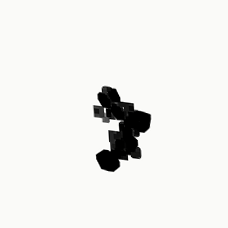 CC(C)(CNC(=O)C1(OCc2cc(=O)n3nc(-c4ccccc4)nc3[nH]2)CCCCC1)N1CCOCC1